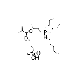 C=C(C)C(=O)OCCCS(=O)(=O)O.CCCCCC[PH](CCCC)(CCCC)CCCC